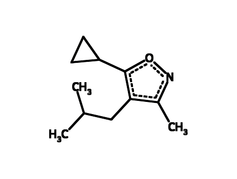 Cc1noc(C2CC2)c1CC(C)C